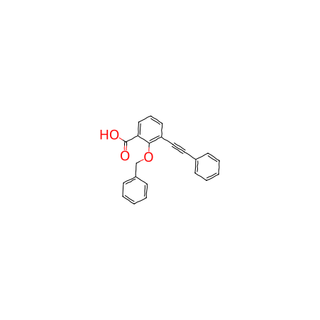 O=C(O)c1cccc(C#Cc2ccccc2)c1OCc1ccccc1